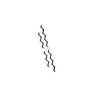 CCCCCCCCNCCCCCCCC.CCCCC[CH2][AlH][CH2]CCCCC